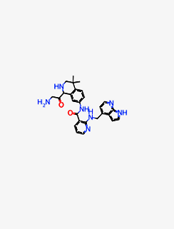 CC1(C)CNC(C(=O)CN)c2cc(NC(=O)c3cccnc3NCc3ccnc4[nH]ccc34)ccc21